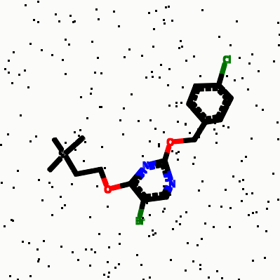 C[Si](C)(C)CCOc1nc(OCc2ccc(Cl)cc2)ncc1Br